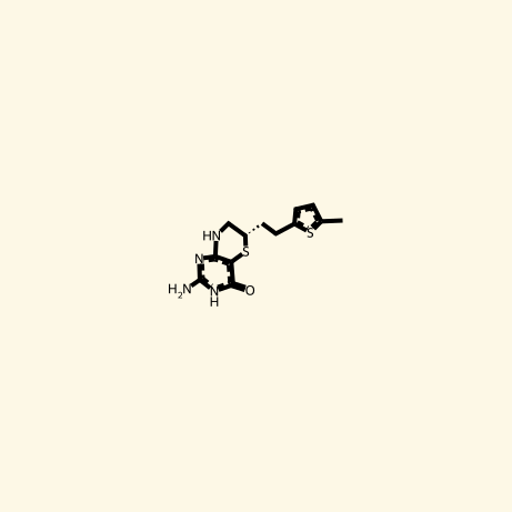 Cc1ccc(CC[C@H]2CNc3nc(N)[nH]c(=O)c3S2)s1